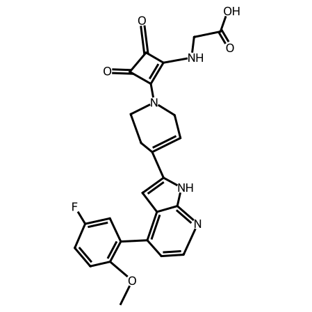 COc1ccc(F)cc1-c1ccnc2[nH]c(C3=CCN(c4c(NCC(=O)O)c(=O)c4=O)CC3)cc12